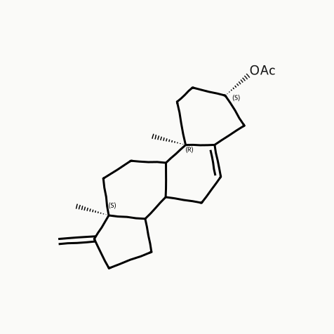 C=C1CCC2C3CC=C4C[C@@H](OC(C)=O)CC[C@]4(C)C3CC[C@]12C